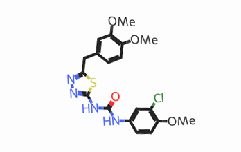 COc1ccc(NC(=O)Nc2nnc(Cc3ccc(OC)c(OC)c3)s2)cc1Cl